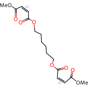 COC(=O)/C=C\C(=O)OCCCCCCOC(=O)/C=C\C(=O)OC